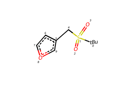 CC(C)(C)S(=O)(=O)Cc1ccoc1